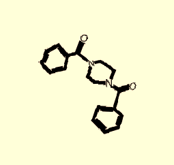 O=C(c1cc[c]cc1)N1CCN(C(=O)c2ccccc2)CC1